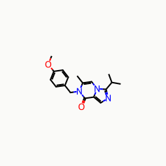 COc1ccc(Cn2c(C)cn3c(C(C)C)ncc3c2=O)cc1